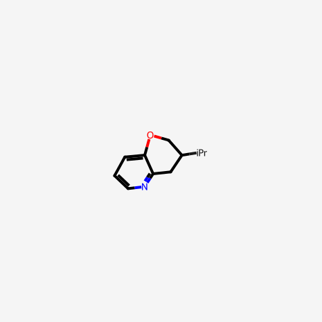 CC(C)C1COc2cccnc2C1